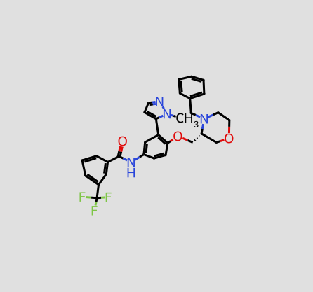 Cn1nccc1-c1cc(NC(=O)c2cccc(C(F)(F)F)c2)ccc1OC[C@H]1COCCN1Cc1ccccc1